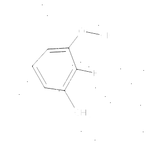 Cc1cccc(OC(F)(F)F)c1F